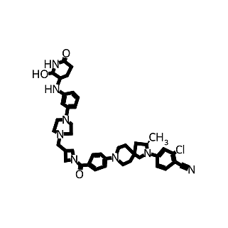 C[C@H]1CC2(CCN(c3ccc(C(=O)N4CC(CN5CCN(c6cccc(NC7CCC(=O)NC7O)c6)CC5)C4)cc3)CC2)CN1c1ccc(C#N)c(Cl)c1